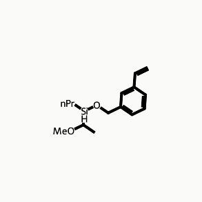 C=Cc1cccc(CO[SiH](CCC)C(C)OC)c1